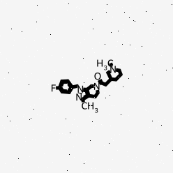 Cc1nn(Cc2ccc(F)cc2)c2c1CCN(C(=O)CC1CCCN(C)C1)C2